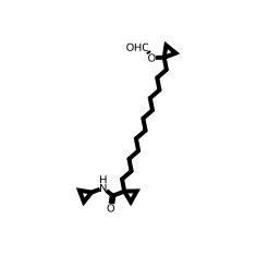 O=COC1(CCCCCCCCCCCCC2(C(=O)NC3CC3)CC2)CC1